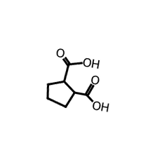 O=C(O)C1CCCC1C(=O)O